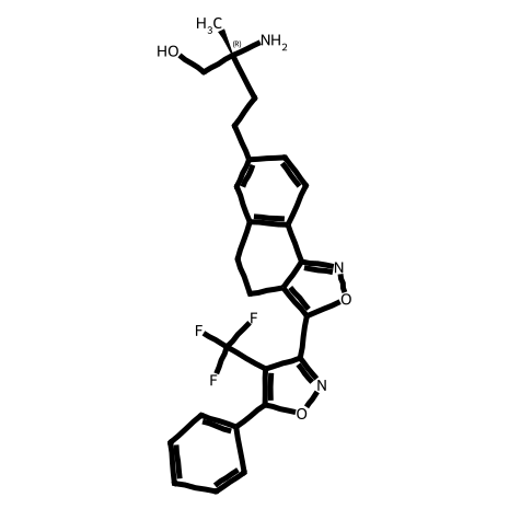 C[C@](N)(CO)CCc1ccc2c(c1)CCc1c-2noc1-c1noc(-c2ccccc2)c1C(F)(F)F